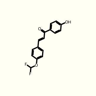 O=C(C=Cc1ccc(OC(F)F)cc1)c1ccc(O)cc1